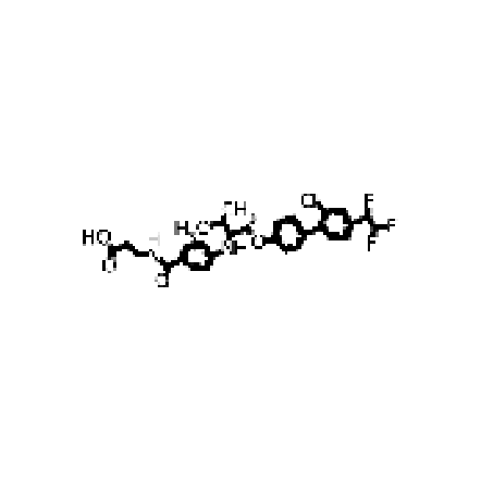 CC(C)C(COc1ccc(-c2ccc(C(F)C(F)F)cc2Cl)cc1)Nc1ccc(C(=O)NCCC(=O)O)cc1